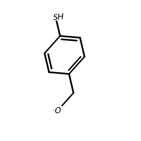 [O]Cc1ccc(S)cc1